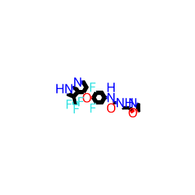 O=C(NCc1ncco1)Nc1cc(F)c(Oc2ccnc3[nH]cc(C(F)(F)F)c23)c(F)c1